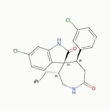 CC(C)C[C@H]1CNC(=O)C[C@H](c2cccc(Cl)c2)[C@]12C(=O)Nc1cc(Cl)ccc12